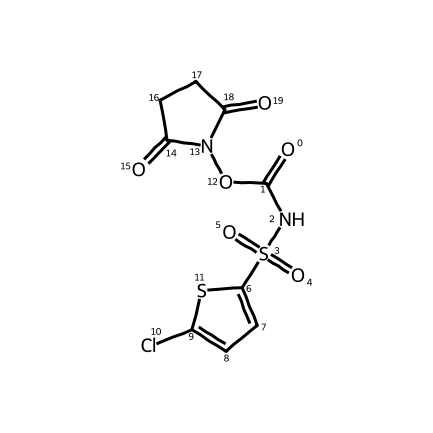 O=C(NS(=O)(=O)c1ccc(Cl)s1)ON1C(=O)CCC1=O